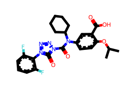 CC(C)Oc1ccc(N(C(=O)n2nnn(-c3c(F)cccc3F)c2=O)C2CCCCC2)cc1C(=O)O